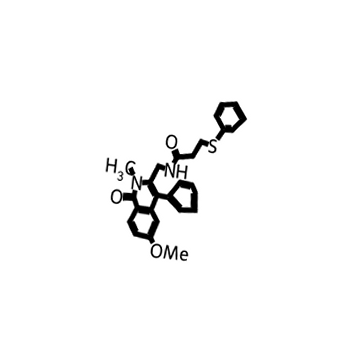 COc1ccc2c(=O)n(C)c(CNC(=O)CCSc3ccccc3)c(-c3ccccc3)c2c1